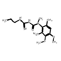 CCCNC(=N)NC(=O)N(C)c1c(C)cc(OC)c(OC)c1C